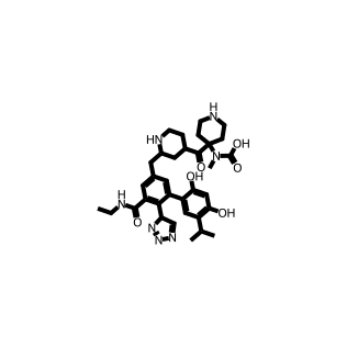 CCNC(=O)c1cc(CC2CC(C(=O)C3(N(C)C(=O)O)CCNCC3)CCN2)cc(-c2cc(C(C)C)c(O)cc2O)c1C1C=NN=N1